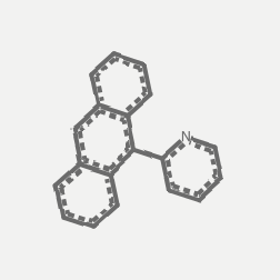 [c]1c2ccccc2c(-c2ccccn2)c2ccccc12